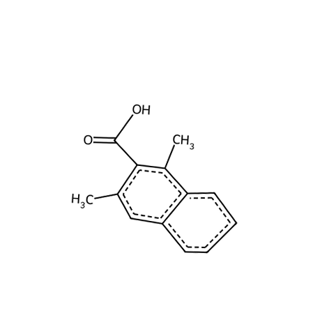 Cc1cc2ccccc2c(C)c1C(=O)O